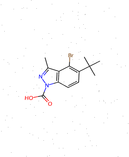 Cc1nn(C(=O)O)c2ccc(C(C)(C)C)c(Br)c12